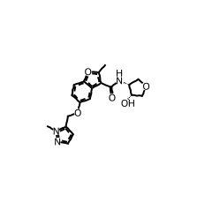 Cc1oc2ccc(OCc3ccnn3C)cc2c1C(=O)N[C@@H]1COC[C@@H]1O